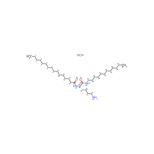 CCCCCCCCCCCCCCCC(=O)N[C@@H](CCCCN)C(=O)NCCCCCCCCCCCC.Cl